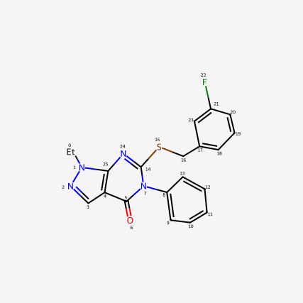 CCn1ncc2c(=O)n(-c3ccccc3)c(SCc3cccc(F)c3)nc21